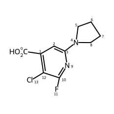 O=C(O)c1cc(N2CCCC2)nc(F)c1Cl